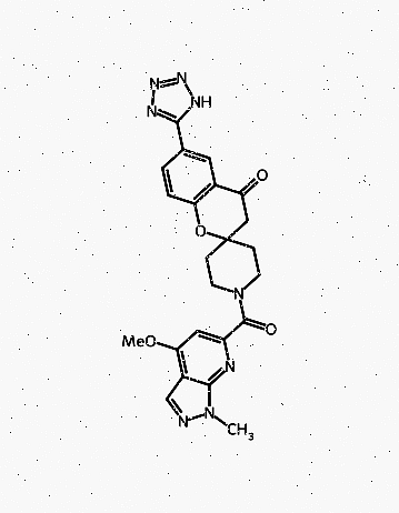 COc1cc(C(=O)N2CCC3(CC2)CC(=O)c2cc(-c4nnn[nH]4)ccc2O3)nc2c1cnn2C